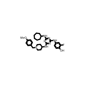 COc1ccc(CN2CCC(Nc3nc(Nc4ccc(O)c(F)c4)nc(NC4CCCCCC4)n3)CC2)cc1